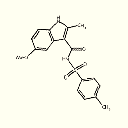 COc1ccc2[nH]c(C)c(C(=O)NS(=O)(=O)c3ccc(C)cc3)c2c1